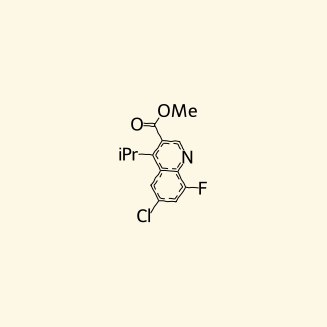 COC(=O)c1cnc2c(F)cc(Cl)cc2c1C(C)C